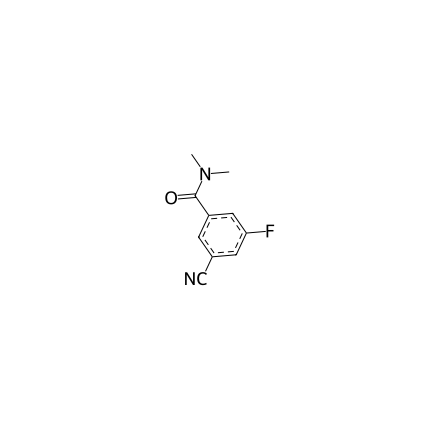 CN(C)C(=O)c1cc(F)cc(C#N)c1